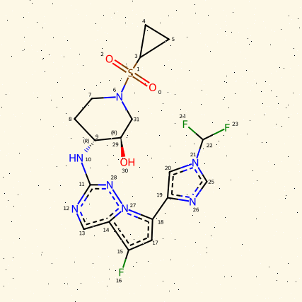 O=S(=O)(C1CC1)N1CC[C@@H](Nc2ncc3c(F)cc(-c4cn(C(F)F)cn4)n3n2)[C@H](O)C1